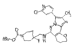 Cc1nc2c3c(c(NCC4(F)CCN(C(=O)OC(C)(C)C)CC4)nn2c1-c1ccnc(Cl)c1)CCCO3